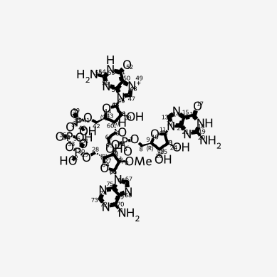 CO[C@@H]1[C@H](OP(=O)(O)OC[C@H]2O[C@@H](n3cnc4c(=O)[nH]c(N)nc43)[C@H](O)[C@@H]2O)[C@@H](COP(=O)(O)OP(=O)(O)OP(=O)(O)OC[C@H]2O[C@@H](n3c[n+](C)c4c(=O)[nH]c(N)nc43)[C@H](O)[C@@H]2CCO)O[C@H]1n1cnc2c(N)ncnc21